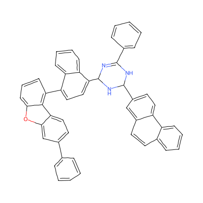 c1ccc(C2=NC(c3ccc(-c4cccc5oc6cc(-c7ccccc7)ccc6c45)c4ccccc34)NC(c3ccc4c(ccc5ccccc54)c3)N2)cc1